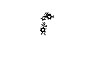 Cc1ccc(S(=O)(=O)OC[C@H]2CO[C@@](C)(c3ccc(Cl)cc3Cl)O2)cc1